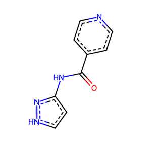 O=C(Nc1cc[nH]n1)c1ccncc1